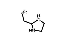 CCCCC1NCCN1